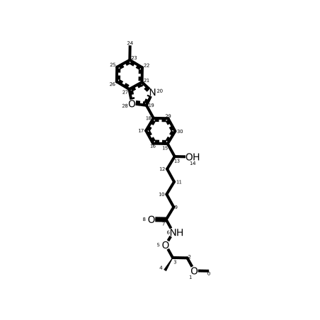 COC[C@@H](C)ONC(=O)CCCCC(O)c1ccc(-c2nc3cc(C)ccc3o2)cc1